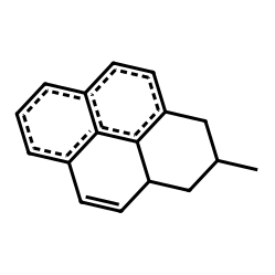 CC1Cc2ccc3cccc4c3c2C(C=C4)C1